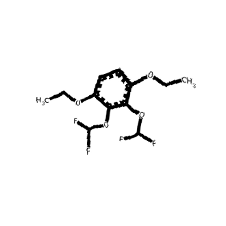 CCOc1ccc(OCC)c(OC(F)F)c1OC(F)F